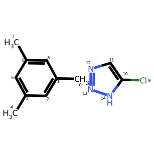 Cc1cc(C)cc(C)c1.Clc1cnn[nH]1